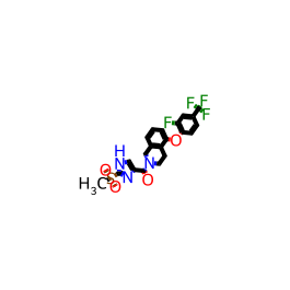 CS(=O)(=O)c1nc(C(=O)N2CCc3c(cccc3Oc3ccc(C(F)(F)F)cc3F)C2)c[nH]1